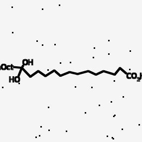 CCCCCCCCC(O)(O)CCCCCCCCCCCCC(=O)O